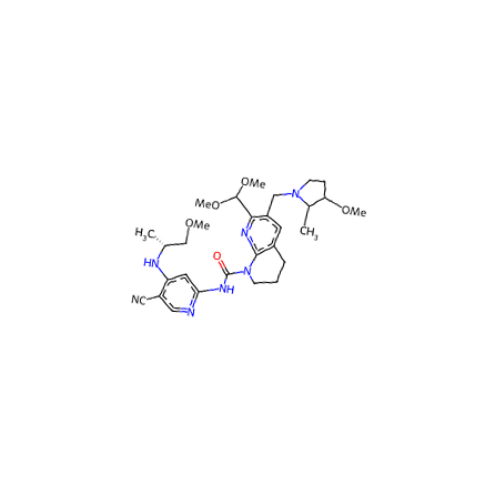 COC[C@@H](C)Nc1cc(NC(=O)N2CCCc3cc(CN4CCC(OC)C4C)c(C(OC)OC)nc32)ncc1C#N